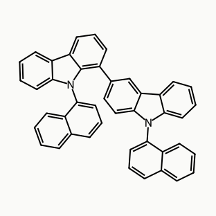 c1ccc2c(-n3c4ccccc4c4cc(-c5cccc6c7ccccc7n(-c7cccc8ccccc78)c56)ccc43)cccc2c1